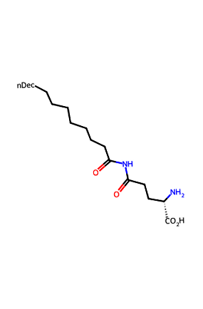 CCCCCCCCCCCCCCCCCC(=O)NC(=O)CC[C@H](N)C(=O)O